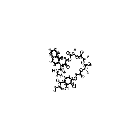 C=C(CC)C(=O)c1ccc(OCC(=O)O[C@@H](C)C(=O)O[C@@H](C)C(=O)O[C@@H](C)C(=O)O[C@@H](C)C(=O)N(C2=NCCN2)c2ccc3nccnc3c2Br)c(Cl)c1Cl